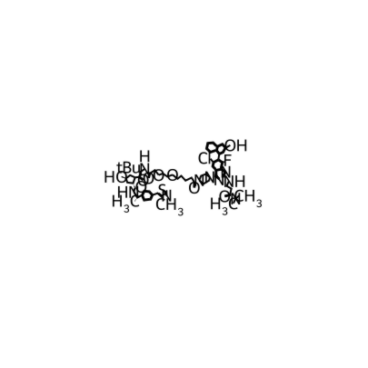 Cc1ncsc1-c1ccc([C@H](C)NC(=O)[C@@H]2C[C@@H](O)CC2C(=O)[C@@H](NC(=O)COCCOCCCCC(=O)N2CCN(c3nc(NCCC(=O)N(C)C)nc4c(F)c(-c5cc(O)cc6ccccc56)c(Cl)cc34)CC2)C(C)(C)C)cc1